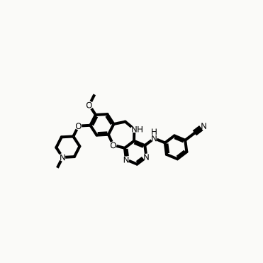 COc1cc2c(cc1OC1CCN(C)CC1)Oc1ncnc(Nc3cccc(C#N)c3)c1NC2